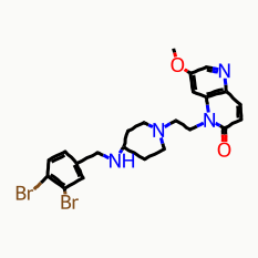 COc1cnc2ccc(=O)n(CCN3CCC(NCc4ccc(Br)c(Br)c4)CC3)c2c1